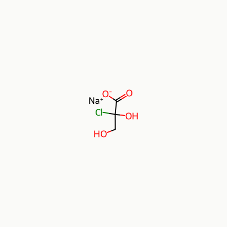 O=C([O-])C(O)(Cl)CO.[Na+]